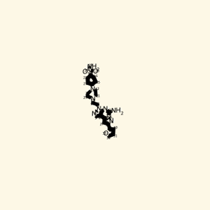 Nc1nc2c(cnn2CCN2CCN(c3ccc(S(N)(=O)=O)cc3)CC2)c2cc(-c3ccco3)nn12